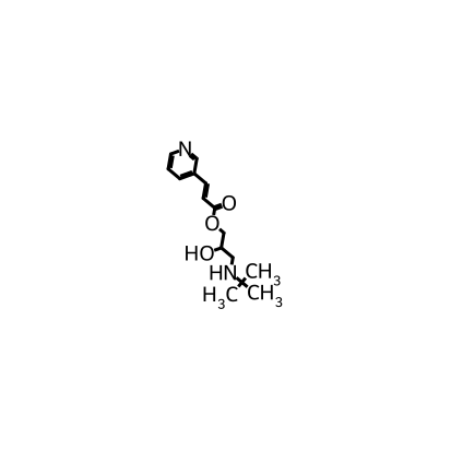 CC(C)(C)NCC(O)COC(=O)C=Cc1cccnc1